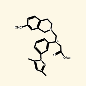 COC(=O)C[C@H](CN1CCc2ccc(C=O)cc2C1)c1cccc(-n2nc(C)cc2C)c1